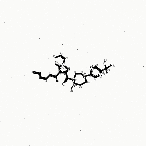 C=C/C=C\C=C(/C)c1c(C(=O)N2CCN(c3cnc(C(F)(F)F)cn3)CC[C@H]2C)nn(/C=C\C)c1C